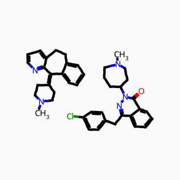 CN1CCC(=C2c3ccccc3CCc3cccnc32)CC1.CN1CCCC(n2nc(Cc3ccc(Cl)cc3)c3ccccc3c2=O)CC1